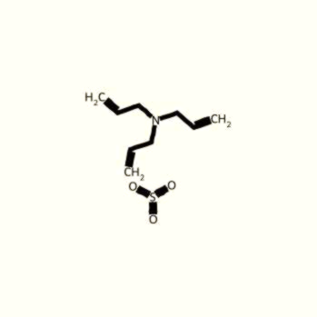 C=CCN(CC=C)CC=C.O=S(=O)=O